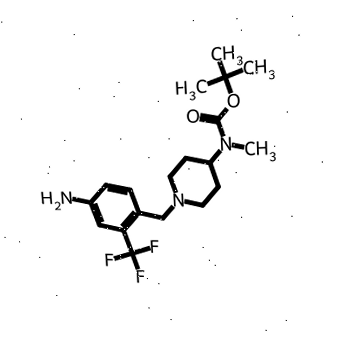 CN(C(=O)OC(C)(C)C)C1CCN(Cc2ccc(N)cc2C(F)(F)F)CC1